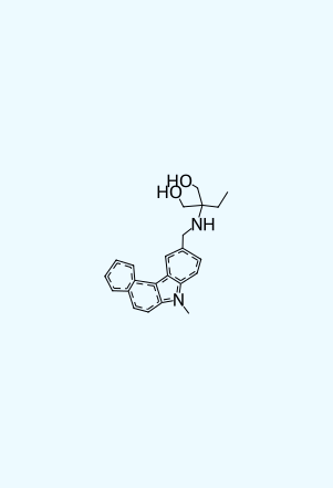 CCC(CO)(CO)NCc1ccc2c(c1)c1c3ccccc3ccc1n2C